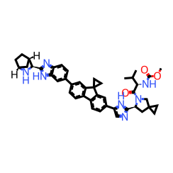 COC(=O)N[C@H](C(=O)N1CC2(CC2)C[C@H]1c1ncc(-c2ccc3c(c2)C2(CC2)c2cc(-c4ccc5nc([C@H]6N[C@@H]7CC[C@H]6C7)[nH]c5c4)ccc2-3)[nH]1)C(C)C